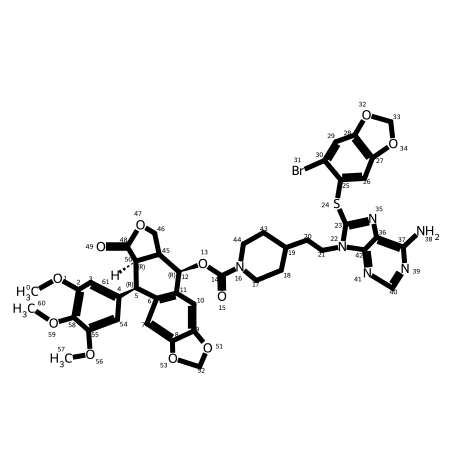 COc1cc([C@@H]2c3cc4c(cc3[C@H](OC(=O)N3CCC(CCn5c(Sc6cc7c(cc6Br)OCO7)nc6c(N)ncnc65)CC3)C3COC(=O)[C@@H]32)OCO4)cc(OC)c1OC